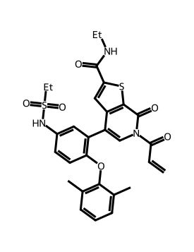 C=CC(=O)n1cc(-c2cc(NS(=O)(=O)CC)ccc2Oc2c(C)cccc2C)c2cc(C(=O)NCC)sc2c1=O